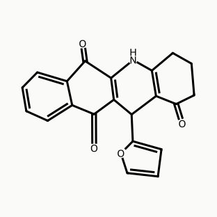 O=C1CCCC2=C1C(c1ccco1)C1=C(N2)C(=O)c2ccccc2C1=O